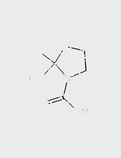 COC(=O)N1CCSC1(C)C